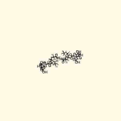 CC(C)(C)CC(C)(C)C(OC(=O)C(=O)OC(CC(=O)O)(CC(=O)O)C(=O)O)C(C)(C)CC(C)(C)C(=O)NCCNC(=O)C(C)(C)CC(C)(C)C(OC(=O)C(=O)OC(CC(=O)O)(CC(=O)O)C(=O)O)C(C)(C)CC(C)(C)C